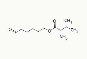 CC(C)[C@H](N)C(=O)OCCCCC[C]=O